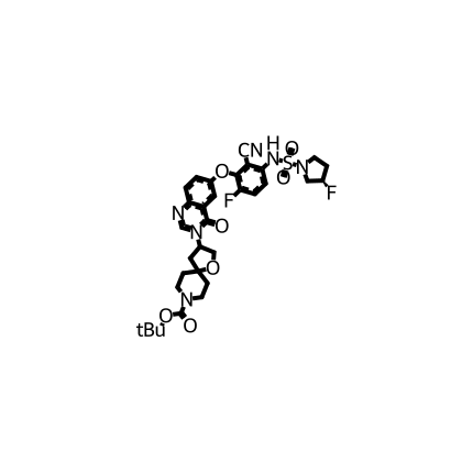 CC(C)(C)OC(=O)N1CCC2(CC1)CC(n1cnc3ccc(Oc4c(F)ccc(NS(=O)(=O)N5CC[C@@H](F)C5)c4C#N)cc3c1=O)CO2